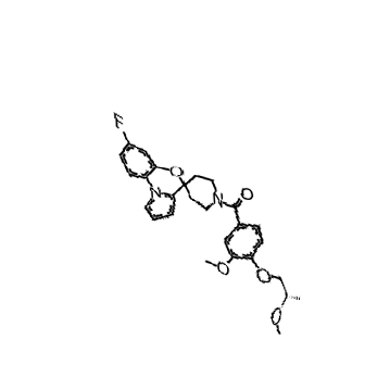 COc1cc(C(=O)N2CCC3(CC2)Oc2cc(F)ccc2-n2cccc23)ccc1OC[C@H](C)OC